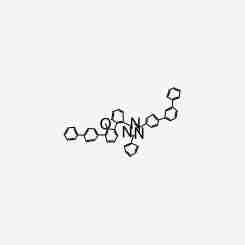 c1ccc(-c2ccc(-c3cccc4c3oc3cccc(-c5nc(-c6ccccc6)nc(-c6ccc(-c7cccc(-c8ccccc8)c7)cc6)n5)c34)cc2)cc1